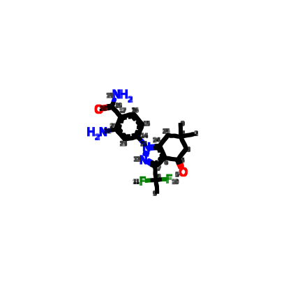 CC1(C)CC(=O)c2c(C(C)(F)F)nn(-c3ccc(C(N)=O)c(N)c3)c2C1